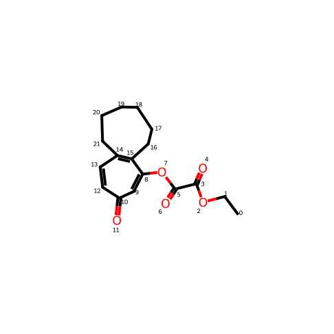 CCOC(=O)C(=O)Oc1cc(=O)ccc2c1CCCCCC2